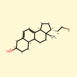 CC12CCC3C(=CC=C4CC(O)CCC43)C1CC[C@@H]2CCBr